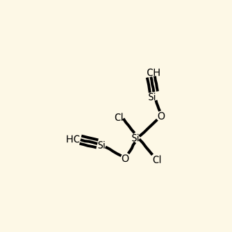 C#[Si]O[Si](Cl)(Cl)O[Si]#C